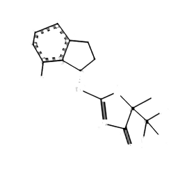 CC1(C(F)(F)F)SC(N[C@H]2CCc3cccc(Cl)c32)=NC1=O